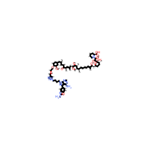 CO[C@@H](C[C@@H]1CC[C@@H](C)[C@](O)(C(=O)C(=O)N2CCCC[C@H]2C(=O)O)O1)/C(C)=C/C=C/C=C/[C@@H](C)C[C@@H](C)C(=O)[C@@H](C/C(C)=C/[C@@H](C)C(=O)CC[C@H](C)CC1CC[C@@H](OCCOCc2cn(CCCCn3nc(-c4ccc5oc(N)nc5c4)c4c(N)ncnc43)nn2)[C@H](OC)C1)OC